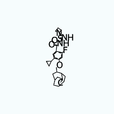 N=S(=O)(NC(=O)c1cc(C2CC2)c(OCC2CC3CC4CCC2C(C4)C3)cc1F)N1CCC1